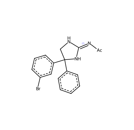 CC(=O)/N=C1/NCC(c2ccccc2)(c2cccc(Br)c2)N1